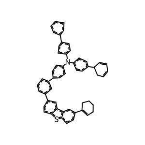 C1=CCC(c2ccc(N(c3ccc(-c4ccccc4)cc3)c3ccc(-c4cccc(-c5ccc6sc7ccc(C8=CCCCC8)cc7c6c5)c4)cc3)cc2)C=C1